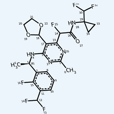 Cc1nc(N[C@H](C)c2cccc(C(F)F)c2F)c(C2OCCO2)c(C(F)C(=O)NC2(C(F)F)CC2)n1